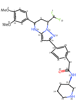 COc1ccc(C2CC(C(F)F)n3nc(-c4ccc(CC(=O)N[C@@H]5CCCNC5)cc4)cc3N2)cc1OC